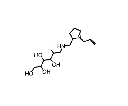 C=CCN1CCCC1CNCC(F)C(O)C(O)C(O)CO